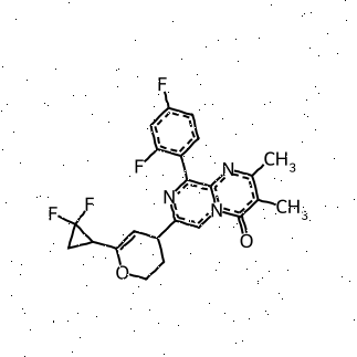 Cc1nc2c(-c3ccc(F)cc3F)nc(C3C=C(C4CC4(F)F)OCC3)cn2c(=O)c1C